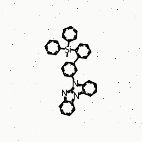 C[Si](c1ccccc1)(c1ccccc1)c1ccccc1-c1cccc(-n2c3ccccc3n3c4ccccc4nc23)c1